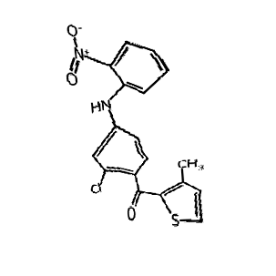 Cc1ccsc1C(=O)c1ccc(Nc2ccccc2[N+](=O)[O-])cc1Cl